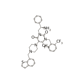 Cc1c(N2CCN(Cc3cccc4ccsc34)CC2)c(=O)n(C[C@H](N)c2ccccc2)c(=O)n1Cc1c(F)cccc1C(F)(F)F